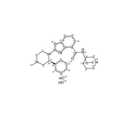 CN1CCN(c2nc3c(C(=O)NC4CN5CCC4CC5)cccc3o2)[C@@H](c2ccccc2)C1.Cl.Cl